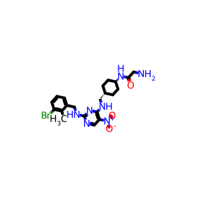 Cc1c(Br)cccc1CNc1ncc([N+](=O)[O-])c(NC[C@H]2CC[C@H](NC(=O)CN)CC2)n1